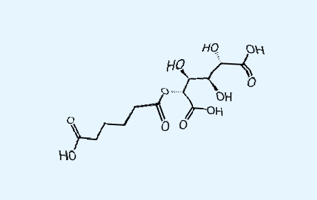 O=C(O)CCCCC(=O)O[C@@H](C(=O)O)[C@@H](O)[C@H](O)[C@H](O)C(=O)O